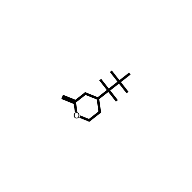 C=C1CC(C(C)(C)C(C)(C)C)CCO1